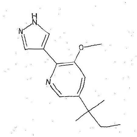 CCC(C)(C)c1cnc(-c2cn[nH]c2)c(OC)c1